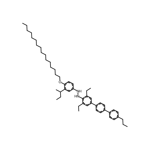 CCCCCCCCCCCCCCCCOc1ccc(NNc2c(CC)cc(-c3ccc(-c4ccc(CCC)cc4)cc3)cc2CC)cc1C(C)CC